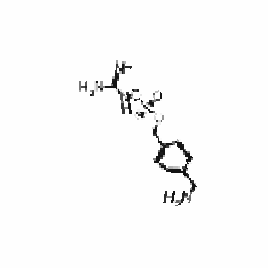 N=C(N)NOS(=O)(=O)OCc1ccc(CN)cc1